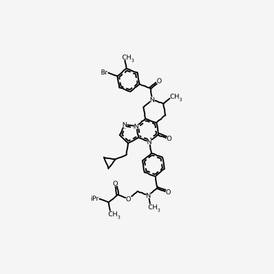 Cc1cc(C(=O)N2Cc3c(c(=O)n(-c4ccc(C(=O)N(C)COC(=O)C(C)C(C)C)cc4)c4c(CC5CC5)cnn34)CC2C)ccc1Br